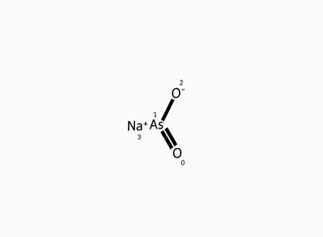 O=[As][O-].[Na+]